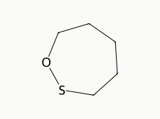 C1CCOSCC1